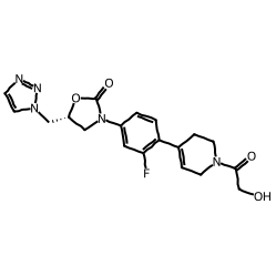 O=C(CO)N1CC=C(c2ccc(N3C[C@H](Cn4ccnn4)OC3=O)cc2F)CC1